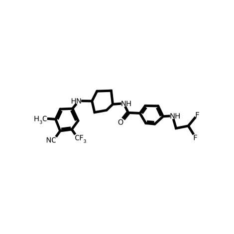 Cc1cc(NC2CCC(NC(=O)c3ccc(NCC(F)F)cc3)CC2)cc(C(F)(F)F)c1C#N